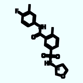 Cc1cc(NC(=O)c2cc(S(=O)(=O)N[C@H]3CCOC3)ccc2C)ccc1F